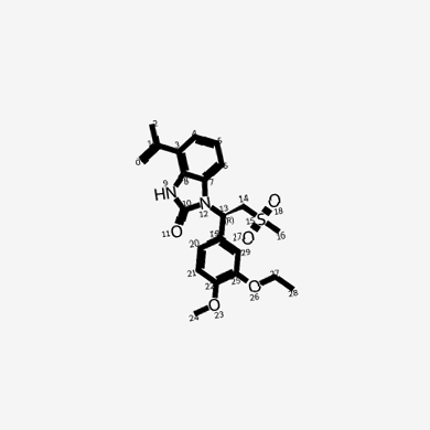 C=C(C)c1cccc2c1[nH]c(=O)n2[C@@H](CS(C)(=O)=O)c1ccc(OC)c(OCC)c1